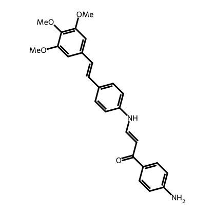 COc1cc(C=Cc2ccc(NC=CC(=O)c3ccc(N)cc3)cc2)cc(OC)c1OC